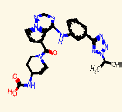 CC(C)n1nnc(-c2cccc(Nc3ncnn4ccc(C(=O)N5CCC(NC(=O)O)CC5)c34)c2)n1